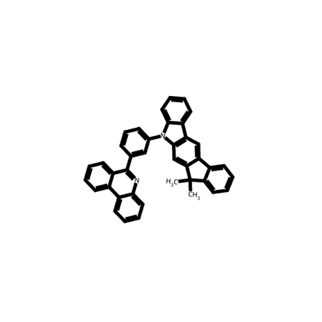 CC1(C)c2ccccc2-c2cc3c4ccccc4n(-c4cccc(-c5nc6ccccc6c6ccccc56)c4)c3cc21